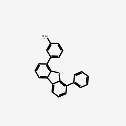 Nc1cccc(-c2cccc3c2sc2c(-c4ccccc4)cccc23)c1